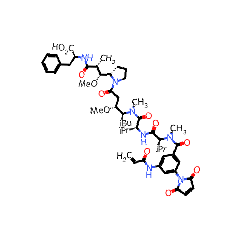 C=CC(=O)Nc1cc(C(=O)N(C)[C@H](C(=O)N[C@H](C(=O)N(C)[C@@H](C(C)CC)[C@@H](CC(=O)N2CCC[C@H]2[C@H](OC)[C@@H](C)C(=O)N[C@@H](Cc2ccccc2)C(=O)O)OC)C(C)C)C(C)C)cc(N2C(=O)C=CC2=O)c1